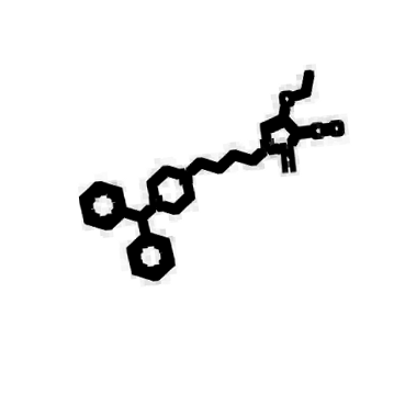 CCOC1=CN(CCCCN2CCN(C(c3ccccc3)c3ccccc3)CC2)NC1=C=O